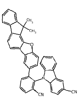 CC1(C)c2ccccc2-c2ccc3c(oc4ccc(-c5cccc(C#N)c5-n5c6ccccc6c6cc(C#N)ccc65)cc43)c21